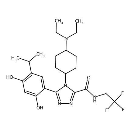 CCN(CC)C1CCC(n2c(C(=O)NCC(F)(F)F)nnc2-c2cc(C(C)C)c(O)cc2O)CC1